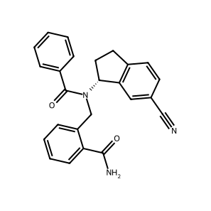 N#Cc1ccc2c(c1)[C@H](N(Cc1ccccc1C(N)=O)C(=O)c1ccccc1)CC2